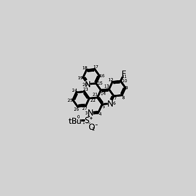 CC(C)(C)[S+]([O-])N=Cc1nc2ccc(F)cc2c(-c2ccccn2)c1-c1ccccc1